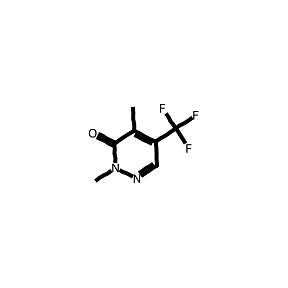 Cc1c(C(F)(F)F)cnn(C)c1=O